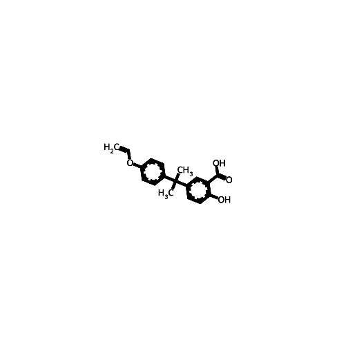 C=COc1ccc(C(C)(C)c2ccc(O)c(C(=O)O)c2)cc1